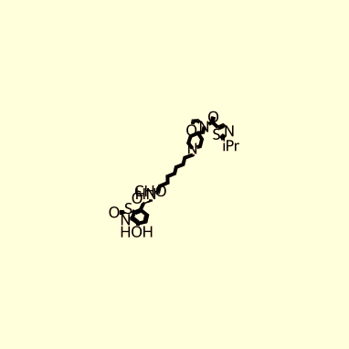 CC(C)c1ncc(C(=O)N2CCOC3(CCN(CCCCCCCCCNC[C@H](OC=O)c4ccc(O)c5[nH]c(=O)sc45)CC3)C2)s1